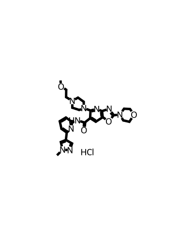 COCCN1CCN(c2nc3nc(N4CCOCC4)oc3cc2C(=O)Nc2cccc(-c3cnn(C)c3)n2)CC1.Cl